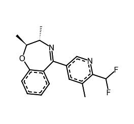 Cc1cc(C2=N[C@@H](C)[C@H](C)Oc3ccccc32)cnc1C(F)F